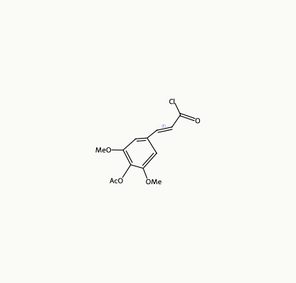 COc1cc(/C=C/C(=O)Cl)cc(OC)c1OC(C)=O